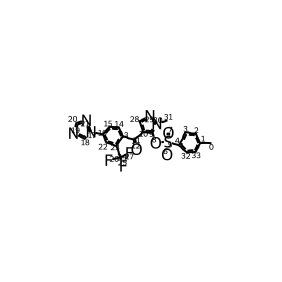 Cc1ccc(S(=O)(=O)Oc2c(C(=O)c3ccc(-n4cncn4)cc3C(F)(F)F)cnn2C)cc1